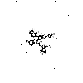 Cc1c(-c2cc3sc(N4CC(C)(O)C4)nc3nc2[C@H](Cc2cc(F)cc(F)c2)NC(=O)Cn2nc(C(F)(F)F)c3c2C(F)(F)[C@@H]2CC32)ccc2n[nH]c(=O)n12